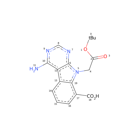 CC(C)(C)OC(=O)Cn1c2ncnc(N)c2c2cccc(C(=O)O)c21